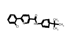 CC(C)(C)c1ccc(NC(=O)c2ccc(-c3ccccc3Cl)nc2)cc1